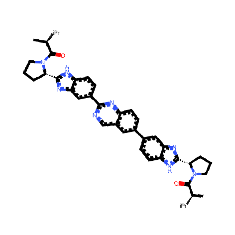 CC(C)[C@H](C)C(=O)N1CCC[C@H]1c1nc2cc(-c3ccc4nc(-c5ccc6[nH]c([C@@H]7CCCN7C(=O)[C@@H](C)C(C)C)nc6c5)ncc4c3)ccc2[nH]1